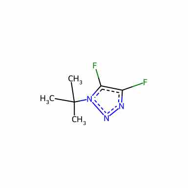 CC(C)(C)n1nnc(F)c1F